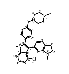 CN1CCN(Cc2ccc(-c3[nH]c4nccc(Cl)c4c3-c3ccc4c(c3)N(C)CC4)cc2)CC1